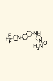 NC(=O)N1CCC(Nc2ccc3cc(N4CCC(C(F)(F)F)CC4)ccc3c2)CC1